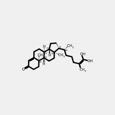 CC(CCC[C@@H](C)[C@H]1CC[C@H]2[C@@H]3CCC4=CC(=O)CC[C@]4(C)[C@H]3CC[C@]12C)=C(O)O